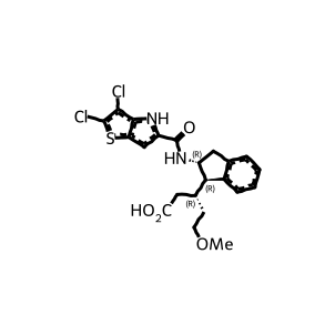 COCC[C@H](CC(=O)O)[C@@H]1c2ccccc2C[C@H]1NC(=O)c1cc2sc(Cl)c(Cl)c2[nH]1